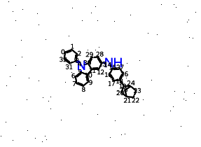 c1ccc(-n2c3ccccc3c3cc(Nc4ccc(C5CC6CCC5C6)cc4)ccc32)cc1